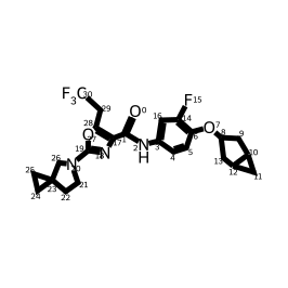 O=C(Nc1ccc(OC2CC3CC3C2)c(F)c1)c1nc(N2CCC3(CC3)C2)oc1CC(F)(F)F